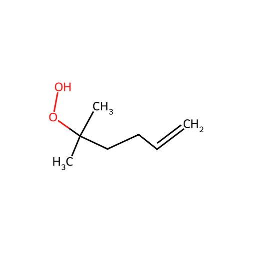 C=CCCC(C)(C)OO